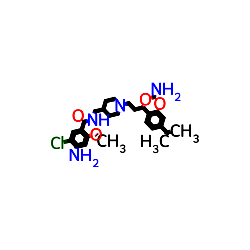 COc1cc(N)c(Cl)cc1C(=O)NCC1CCN(CCC(OC(N)=O)c2ccc(C(C)C)cc2)CC1